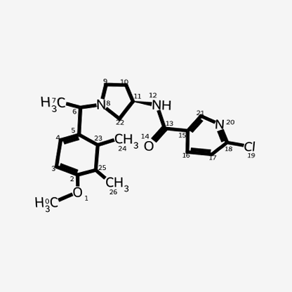 COC1=CC=C(C(C)N2CC[C@@H](NC(=O)c3ccc(Cl)nc3)C2)C(C)C1C